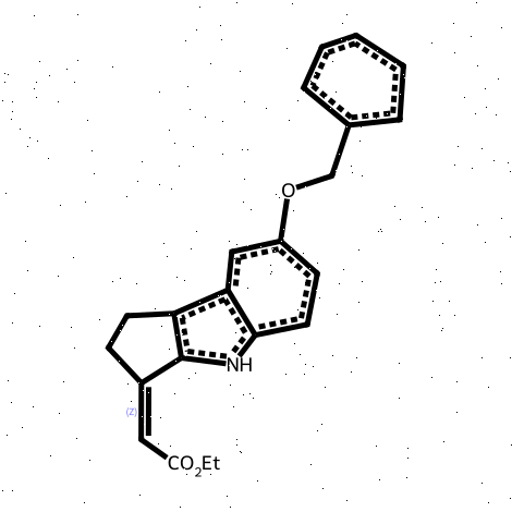 CCOC(=O)/C=C1/CCc2c1[nH]c1ccc(OCc3ccccc3)cc21